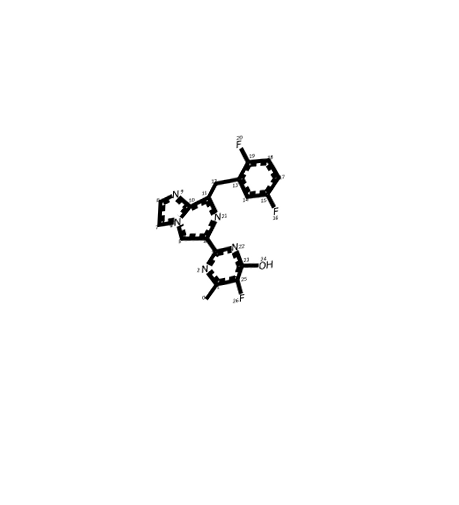 Cc1nc(-c2cn3ccnc3c(Cc3cc(F)ccc3F)n2)nc(O)c1F